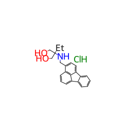 CCC(CO)(CO)NCc1ccc2c3c(cccc13)-c1ccccc1-2.Cl